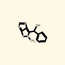 Cn1sc2ncnc-2c1C(O)c1ccccc1